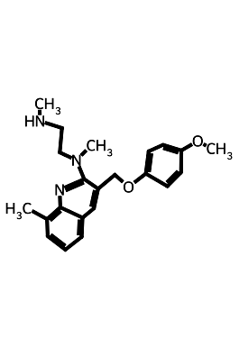 CNCCN(C)c1nc2c(C)cccc2cc1COc1ccc(OC)cc1